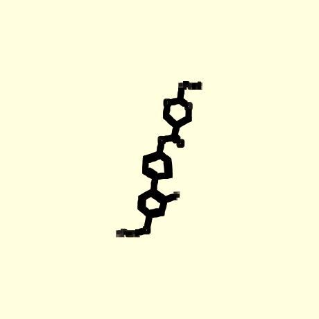 CCCCCOc1ccc(-c2ccc(OC(=O)C3COC(CCCCC)OC3)cc2)c(F)c1